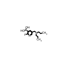 CCCN(CCC)Cc1cnc(F)c(B(O)O)c1